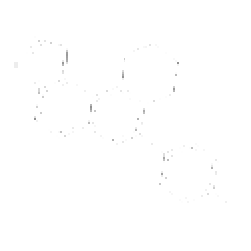 Clc1ccc(-c2cc3ccc4[nH]ncc4c3c3c2CCCC3)cc1